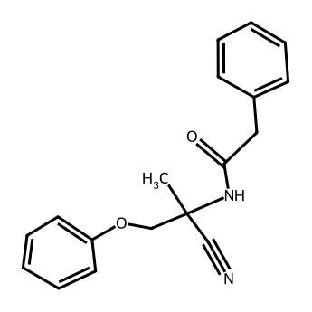 CC(C#N)(COc1ccccc1)NC(=O)Cc1ccccc1